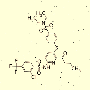 CCCC(=O)c1nc(NS(=O)(=O)c2ccc(C(F)(F)F)cc2Cl)ccc1Sc1ccc(S(=O)(=O)N(CC)CC)cc1